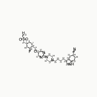 CS(=O)(=O)Cc1ccc(COc2cnc(N3CCN(CCCCc4c[nH]c5ccc(C#N)cc45)CC3)nc2)c(F)c1